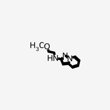 COCCNc1cc2ccccn2n1